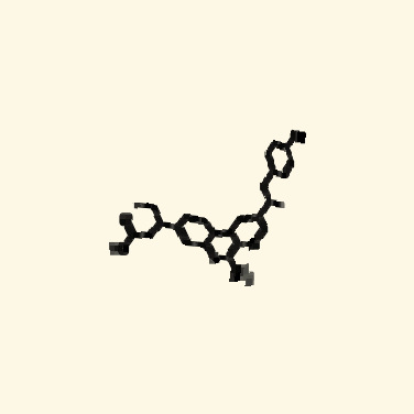 CCC(CC(=O)O)c1ccc2c(c1)nc(N)c1ncc(C(C)Cc3ccc(O)cc3)cc12